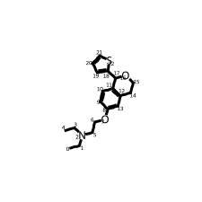 CCN(CC)CCOc1ccc2c(c1)CCOC2c1cccs1